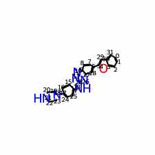 c1ccc2oc(-c3ccc4nnc(Nc5ccc(N6CCNCC6)cc5)nc4c3)cc2c1